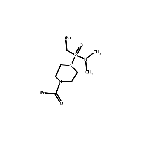 CCC(C)CP(=O)(N(C)C)N1CCN(C(=O)C(C)C)CC1